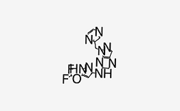 FC(F)Oc1cc(Nc2cnc3cnn(Cc4cnccn4)c3n2)n[nH]1